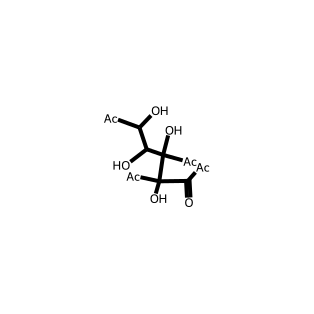 CC(=O)C(=O)C(O)(C(C)=O)C(O)(C(C)=O)C(O)C(O)C(C)=O